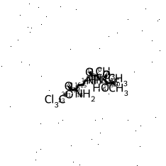 C[C@H](NC(=O)[C@@H](O)C(C)(C)F)C(=O)NCCC[C@H](N)C(=O)OCC(Cl)(Cl)Cl